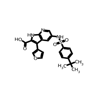 CC(C)(C)c1ccc(S(=O)(=O)Nc2cnc3[nH]c(C(=O)O)c(-c4ccoc4)c3c2)cc1